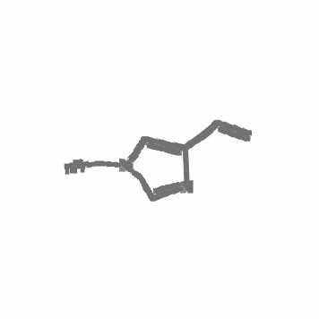 C=Cc1cn(CCC)cn1